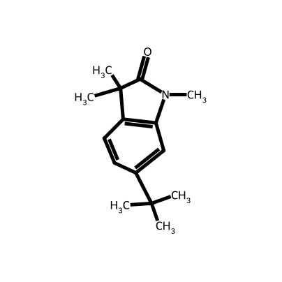 CN1C(=O)C(C)(C)c2ccc(C(C)(C)C)cc21